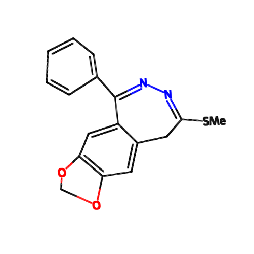 CSC1=NN=C(c2ccccc2)c2cc3c(cc2C1)OCO3